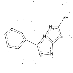 Sc1nn2c(-c3ccccc3)nnc2s1